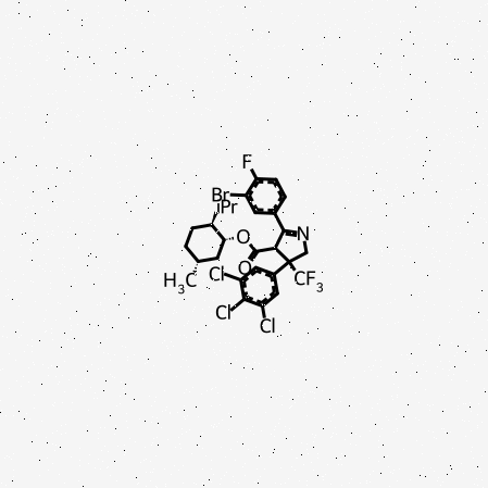 CC(C)[C@@H]1CC[C@@H](C)C[C@H]1OC(=O)C1C(c2ccc(F)c(Br)c2)=NCC1(c1cc(Cl)c(Cl)c(Cl)c1)C(F)(F)F